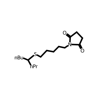 CCCCC(CCC)SCCCCCN1C(=O)CCC1=O